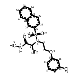 CC(C)C(C(=O)NO)N(CCOc1cccc(Cl)c1)S(=O)(=O)c1ccc2ccccc2c1